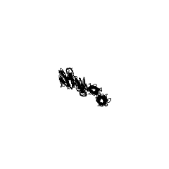 Cn1cnc2ncn(Cc3nn(C4CC[C@H](c5ccccc5)C4)c(=O)o3)c(=O)c21